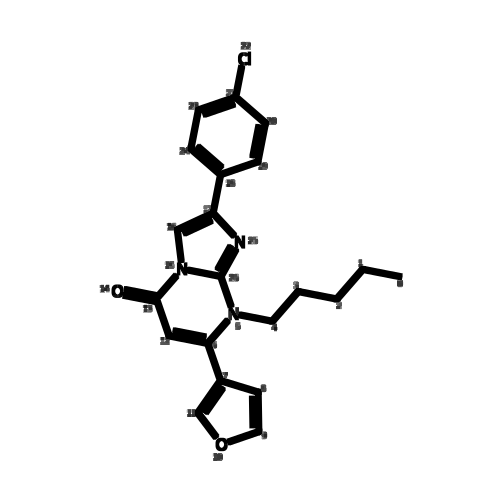 CCCCCn1c(-c2ccoc2)cc(=O)n2cc(-c3ccc(Cl)cc3)nc12